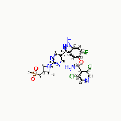 C[C@@H]1[C@@H](CS(C)(=O)=O)CN1c1ncc(-c2n[nH]c3cc(F)c(O[C@H](N)c4c(Cl)cncc4Cl)cc23)cn1